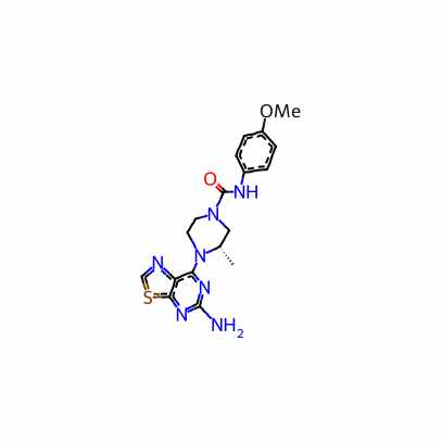 COc1ccc(NC(=O)N2CCN(c3nc(N)nc4scnc34)[C@@H](C)C2)cc1